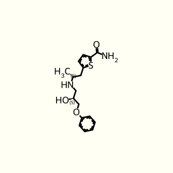 C[C@H](Cc1ccc(C(N)=O)s1)NC[C@H](O)COc1ccccc1